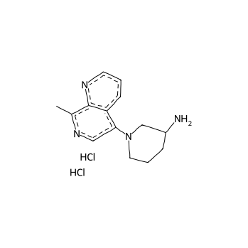 Cc1ncc(N2CCCC(N)C2)c2cccnc12.Cl.Cl